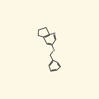 c1ccc(COc2cnc3c(c2)CCC3)cc1